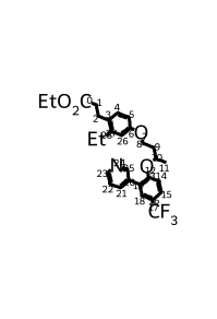 CCOC(=O)CCc1ccc(OCCC(C)Oc2ccc(C(F)(F)F)cc2-c2cccnc2)cc1CC